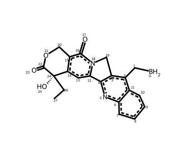 BCc1c2c(nc3ccccc13)-c1cc3c(c(=O)n1C2)COC(=O)[C@]3(O)CC